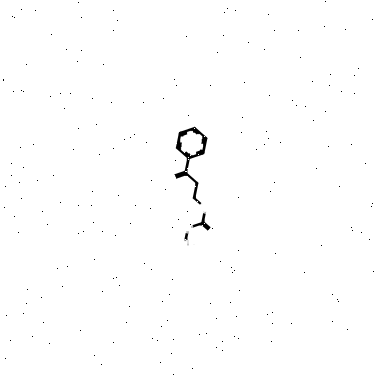 C=C(CCOC(=O)OCCCC)c1ccccc1